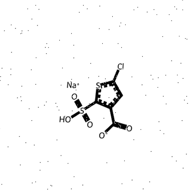 O=C([O-])c1cc(Cl)sc1S(=O)(=O)O.[Na+]